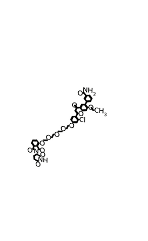 CCOc1cc2oc(-c3ccc(OCCOCCOCCOCCOc4cccc5c4C(=O)N(C4CCC(=O)NC4=O)C5=O)cc3Cl)cc(=O)c2cc1-c1cccc(C(N)=O)c1